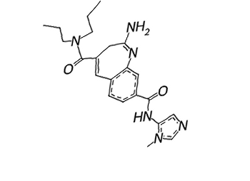 CCCN(CCC)C(=O)C1=Cc2ccc(C(=O)Nc3cncn3C)cc2N=C(N)C1